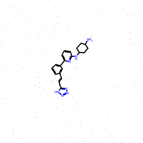 NC1CCC(Nc2cccc(-c3cccc(/C=C/c4nnn[nH]4)c3)n2)CC1